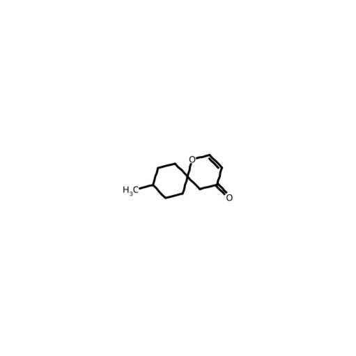 CC1CCC2(CC1)CC(=O)C=CO2